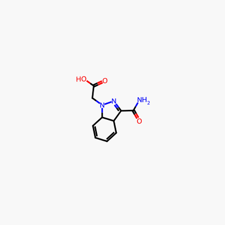 NC(=O)C1=NN(CC(=O)O)C2C=CC=CC12